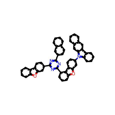 c1ccc2cc(-c3nc(-c4ccc5c(c4)oc4ccccc45)nc(-c4cccc5oc6cc(-n7c8ccccc8c8cc9ccccc9cc87)ccc6c45)n3)ccc2c1